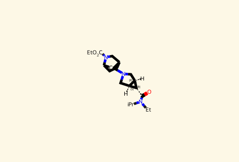 CCOC(=O)N1CC2CCC1CC2N1C[C@@H]2[C@H](C1)[C@H]2C(=O)N(CC)C(C)C